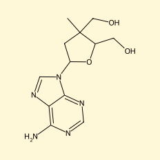 CC1(CO)CC(n2cnc3c(N)ncnc32)OC1CO